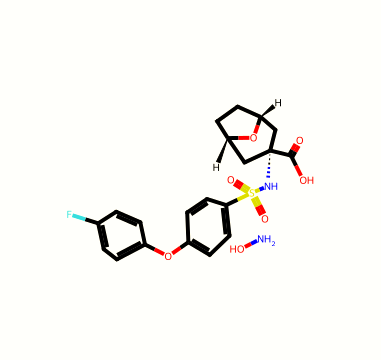 NO.O=C(O)[C@]1(NS(=O)(=O)c2ccc(Oc3ccc(F)cc3)cc2)C[C@H]2CC[C@@H](C1)O2